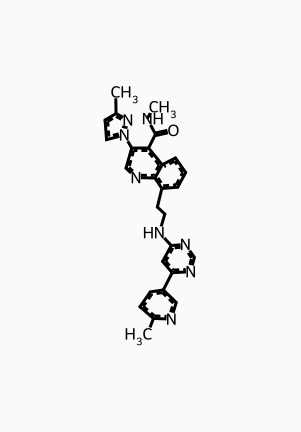 CNC(=O)c1c(-n2ccc(C)n2)cnc2c(CCNc3cc(-c4ccc(C)nc4)ncn3)cccc12